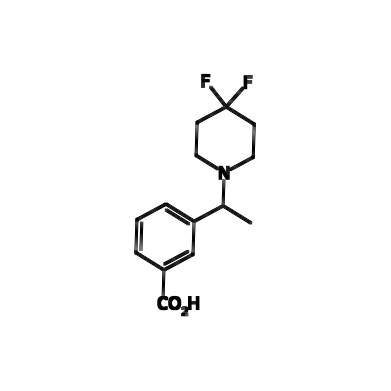 CC(c1cccc(C(=O)O)c1)N1CCC(F)(F)CC1